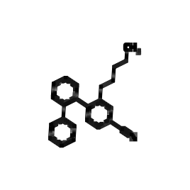 CCCCCc1cc(C#N)ccc1-c1ccccc1-c1ccccc1